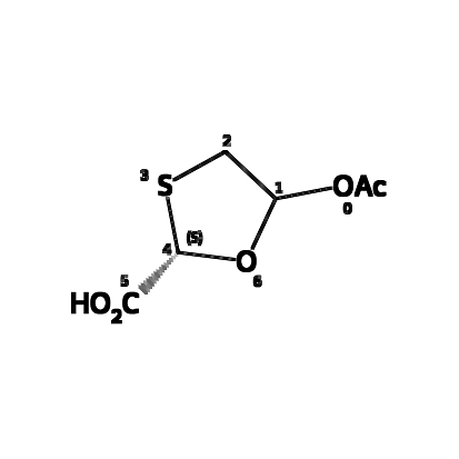 CC(=O)OC1CS[C@@H](C(=O)O)O1